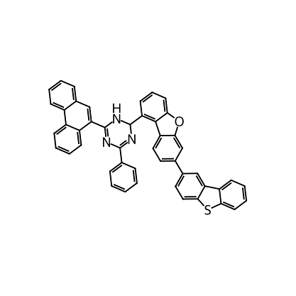 c1ccc(C2=NC(c3cccc4oc5cc(-c6ccc7sc8ccccc8c7c6)ccc5c34)NC(c3cc4ccccc4c4ccccc34)=N2)cc1